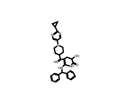 N=C(C1=C(NC(c2ccccc2)c2ccccc2)NC(=O)C(O)C1)C1CCN(c2cnc(C3CC3)nc2)CC1